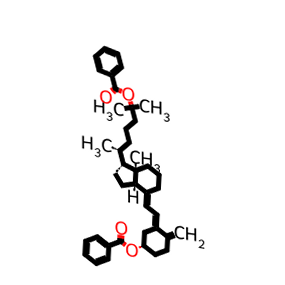 C=C1CC[C@H](OC(=O)c2ccccc2)CC1=CC=C1CCC[C@@]2(C)[C@@H]1CC[C@@H]2[C@H](C)CCCC(C)(C)OC(=O)c1ccccc1